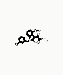 CCc1c(C(=O)C(N)=O)c2c(OC(C)=O)cccc2n1Cc1cccc(Cl)c1